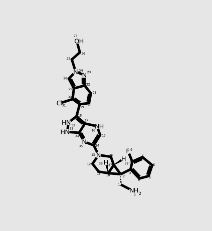 NC[C@]1(c2ccccc2F)[C@@H]2CCN(C3=CNC4=C(c5ccc6nn(CCO)cc6c5Cl)NNC4=N3)C[C@@H]21